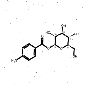 Nc1ccc(C(=O)O[C@@H]2O[C@H](CO)[C@@H](O)[C@H](O)[C@H]2O)cc1